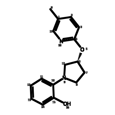 Cc1ccc(O[C@@H]2CCN(c3ccccc3O)C2)nc1